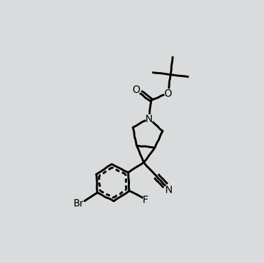 CC(C)(C)OC(=O)N1CC2C(C1)C2(C#N)c1ccc(Br)cc1F